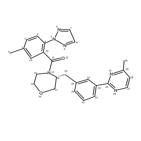 Cc1ccc(-n2nccn2)c(C(=O)N2CCOC[C@H]2Cc2cccc(-c3nccc(C)n3)c2)c1